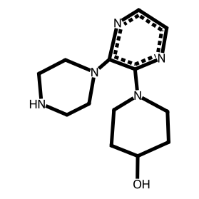 OC1CCN(c2nccnc2N2CCNCC2)CC1